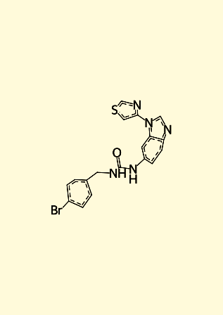 O=C(NCc1ccc(Br)cc1)Nc1ccc2ncn(-c3cscn3)c2c1